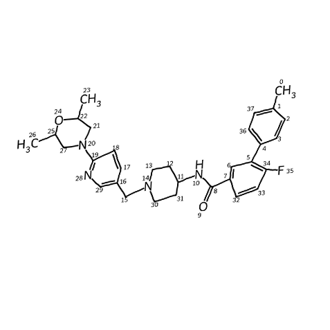 Cc1ccc(-c2cc(C(=O)NC3CCN(Cc4ccc(N5CC(C)OC(C)C5)nc4)CC3)ccc2F)cc1